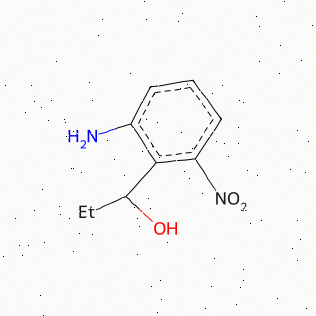 CCC(O)c1c(N)cccc1[N+](=O)[O-]